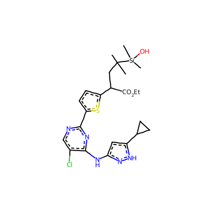 CCOC(=O)C(CC(C)(C)[Si](C)(C)O)c1ccc(-c2ncc(Cl)c(Nc3cc(C4CC4)[nH]n3)n2)s1